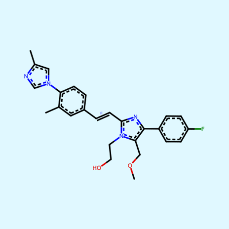 COCc1c(-c2ccc(F)cc2)nc(/C=C/c2ccc(-n3cnc(C)c3)c(C)c2)n1CCO